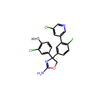 COc1ccc(C2(c3ccc(F)c(-c4cncc(Cl)c4)c3)COC(N)=N2)cc1Cl